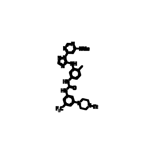 CCN1CCN(c2cc(NC(=O)Nc3ccc(C)c(Nc4ncnn4-c4cc(NC)ncn4)c3)cc(C(F)(F)F)c2)CC1